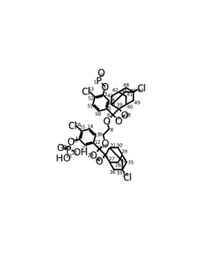 O=POc1cc(C2(OCCOC3(c4ccc(Cl)c(OP(=O)(O)O)c4)OOC34C3CC5CC4CC(Cl)(C5)C3)OOC23C2CC4CC3CC(Cl)(C4)C2)ccc1Cl